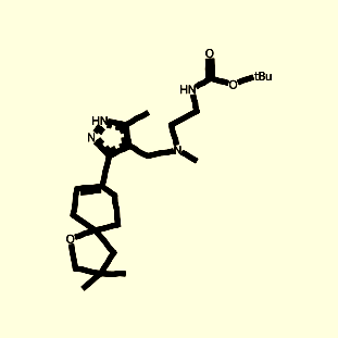 Cc1[nH]nc(C2=CCC3(CC2)CC(C)(C)CO3)c1CN(C)CCNC(=O)OC(C)(C)C